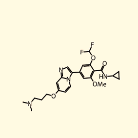 COc1cc(-c2cnc3cc(OCCCN(C)C)ccn23)cc(OC(F)F)c1C(=O)NC1CC1